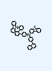 c1ccc(-c2ccccc2-n2c3ccccc3c3ccccc32)c(-c2ccc(N(c3ccc(-c4cccc5ccccc45)cc3)c3ccc4sc5ccccc5c4c3)cc2)c1